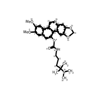 COc1cc2cc(OC(=O)NCCCC(C)(C)N(C)C)c3c4cc5c(cc4ncc3c2cc1OC)OCO5